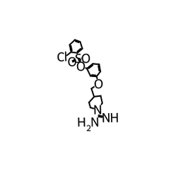 N=C(N)N1CCC(COc2cccc(OS(=O)(=O)c3ccccc3Cl)c2)CC1